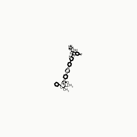 CC[C@@H]([C@H](C)OCc1ccccc1)n1ncn(-c2ccc(N3CCN(c4ccc(-c5ccc(C(F)(F)C(O)(Cn6cnnn6)c6ccc(F)cc6)nc5)cc4)CC3)cc2)c1=O